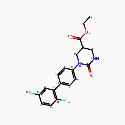 CCOC(=O)C1CNC(=O)N(c2ccc(-c3cc(F)ccc3F)cc2)C1